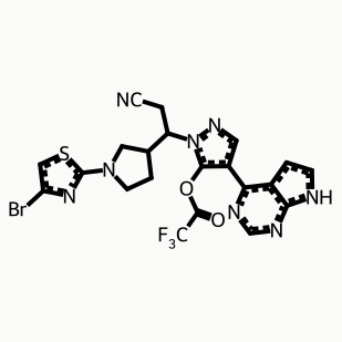 N#CCC(C1CCN(c2nc(Br)cs2)C1)n1ncc(-c2ncnc3[nH]ccc23)c1OC(=O)C(F)(F)F